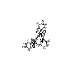 Cc1ccc(S(=O)(=O)N2CCN(S(=O)(=O)c3ccc(C)cc3)Cc3cccc(n3)C2)cc1